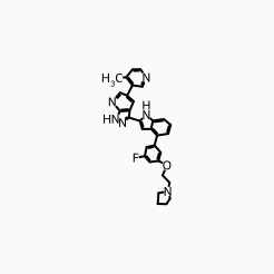 Cc1ccncc1-c1cnc2[nH]nc(-c3cc4c(-c5cc(F)cc(OCCN6CCCC6)c5)cccc4[nH]3)c2c1